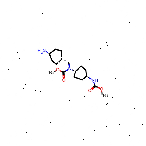 CC(C)(C)OC(=O)N[C@H]1CC[C@H](N(C[C@H]2CC[C@H](N)CC2)C(=O)OC(C)(C)C)CC1